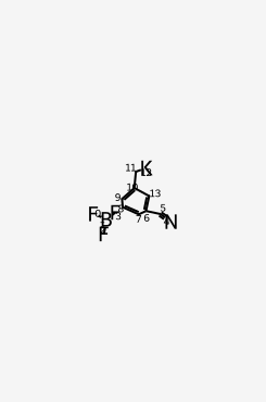 FB(F)F.N#Cc1cccc([CH2][K])c1